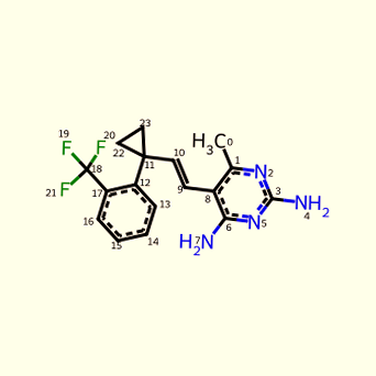 Cc1nc(N)nc(N)c1C=CC1(c2ccccc2C(F)(F)F)CC1